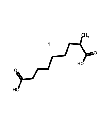 CC(CCCCCCC(=O)O)C(=O)O.N